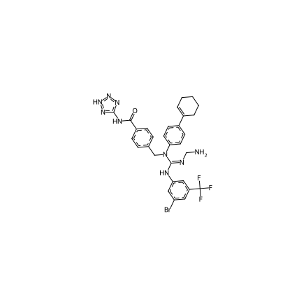 NC/N=C(/Nc1cc(Br)cc(C(F)(F)F)c1)N(Cc1ccc(C(=O)Nc2nn[nH]n2)cc1)c1ccc(C2=CCCCC2)cc1